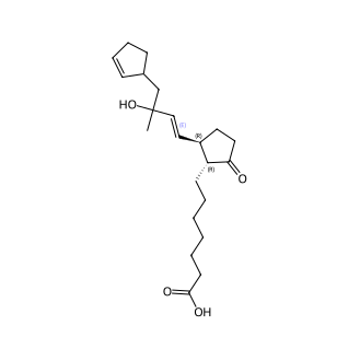 CC(O)(/C=C/[C@H]1CCC(=O)[C@@H]1CCCCCCC(=O)O)CC1C=CCC1